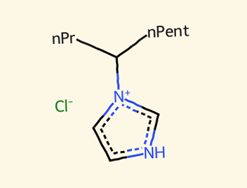 CCCCCC(CCC)[n+]1cc[nH]c1.[Cl-]